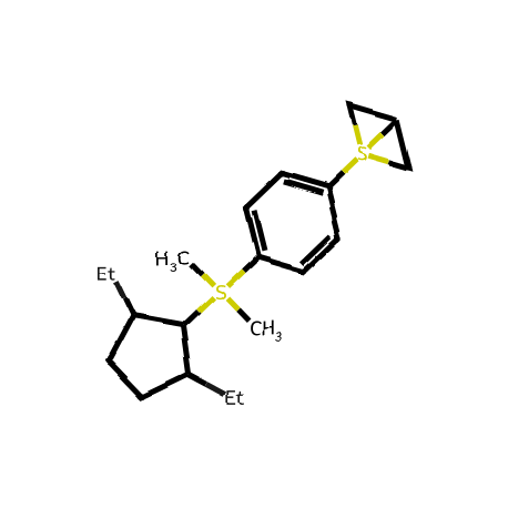 CCC1CCC(CC)C1S(C)(C)c1ccc(S23CC2C3)cc1